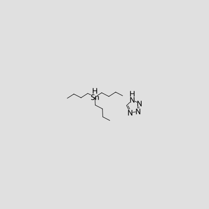 CCC[CH2][SnH]([CH2]CCC)[CH2]CCC.c1nnn[nH]1